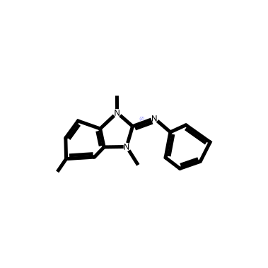 Cc1ccc2c(c1)n(C)/c(=N\c1ccccc1)n2C